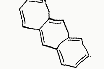 [c]1ccc2cc3cccnc3cc2c1